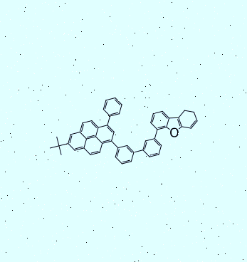 CC(C)(C)c1cc2ccc3c(-c4ccccc4)cc(-c4cccc(-c5cccc(-c6cccc7c8c(oc67)C=CCC8)c5)c4)c4ccc(c1)c2c34